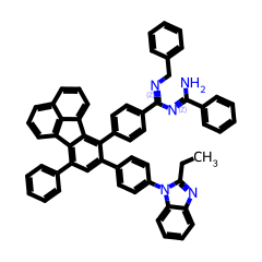 CCc1nc2ccccc2n1-c1ccc(-c2cc(-c3ccccc3)c3c(c2-c2ccc(C(/N=C(\N)c4ccccc4)=N/Cc4ccccc4)cc2)-c2cccc4cccc-3c24)cc1